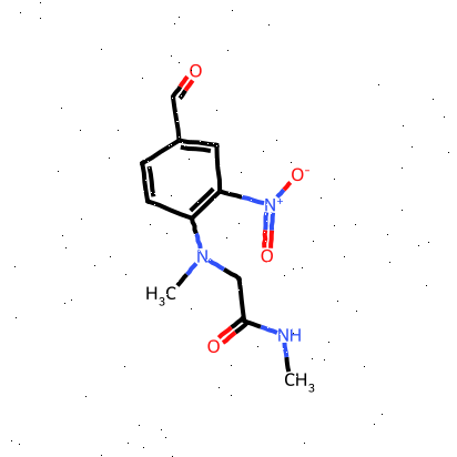 CNC(=O)CN(C)c1ccc(C=O)cc1[N+](=O)[O-]